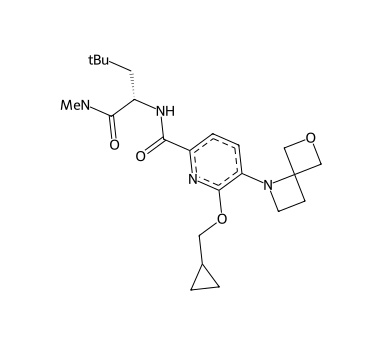 CNC(=O)[C@H](CC(C)(C)C)NC(=O)c1ccc(N2CCC23COC3)c(OCC2CC2)n1